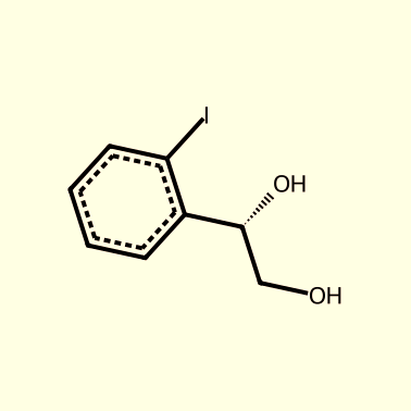 OC[C@@H](O)c1ccccc1I